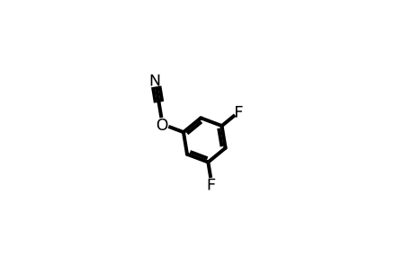 N#COc1cc(F)cc(F)c1